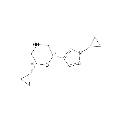 c1nn(C2CC2)cc1[C@H]1CNC[C@@H](C2CC2)O1